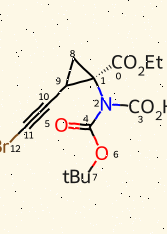 CCOC(=O)[C@@]1(N(C(=O)O)C(=O)OC(C)(C)C)CC1C#CBr